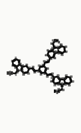 CCn1c2c(c3ccccc31)CC(/C=C/c1cc(/C=C/c3ccc4c(c3)c3ccccc3n4CC)cc(/C=C/c3ccc4c(c3)c3ccccc3n4CC)c1)C=C2